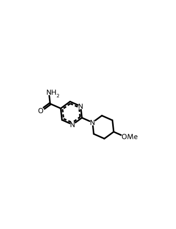 COC1CCN(c2ncc(C(N)=O)cn2)CC1